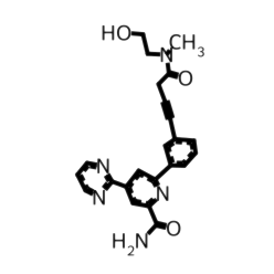 CN(CCO)C(=O)CC#Cc1cccc(-c2cc(-c3ncccn3)cc(C(N)=O)n2)c1